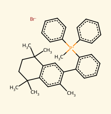 Cc1cc2c(cc1-c1ccccc1[P+](C)(c1ccccc1)c1ccccc1)C(C)(C)CCC2(C)C.[Br-]